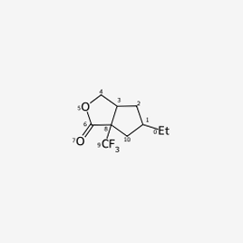 CCC1CC2COC(=O)C2(C(F)(F)F)C1